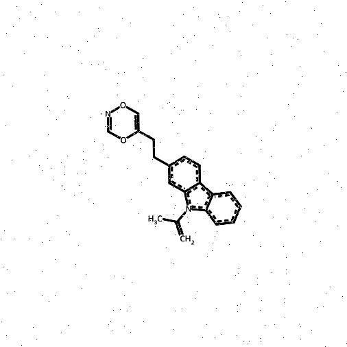 C=C(C)n1c2ccccc2c2ccc(CCC3=CON=CO3)cc21